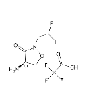 N[C@@H]1CON(CC(F)F)C1=O.O=C(O)C(F)(F)F